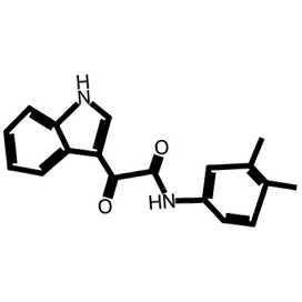 Cc1ccc(NC(=O)C(=O)c2c[nH]c3ccccc23)cc1C